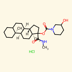 CNC(=O)C1(OC(=O)N2CCCC(O)C2)CC[C@H]2[C@@H]3CCC4CCCC[C@]4(C)[C@@H]3CC[C@@]21C.Cl